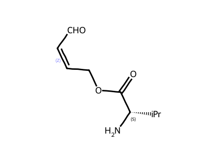 CC(C)[C@H](N)C(=O)OC/C=C\C=O